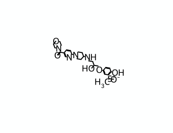 C[S+]([O-])c1cc(OCC(O)CCNC2CCN(c3ccc(C(=O)N4CCOCC4)cn3)CC2)ccc1O